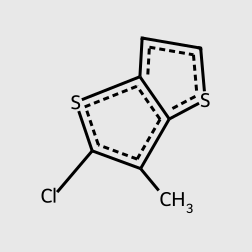 Cc1c(Cl)sc2ccsc12